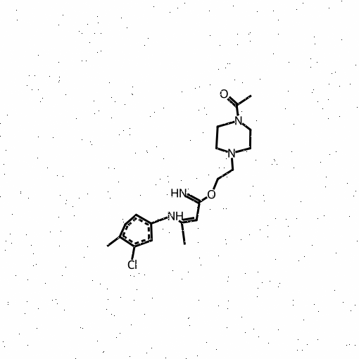 CC(=O)N1CCN(CCOC(=N)/C=C(/C)Nc2ccc(C)c(Cl)c2)CC1